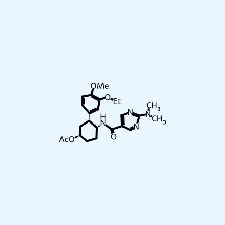 CCOc1cc([C@H]2C[C@H](OC(C)=O)CC[C@H]2NC(=O)c2cnc(N(C)C)nc2)ccc1OC